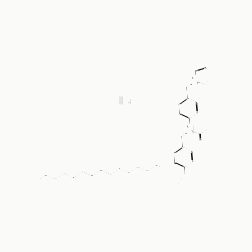 Br.CCCCCCCCCCCCCCOc1cc(CN(C(C)=O)c2ccc(CN3C=CSC3)cc2)ccc1OC